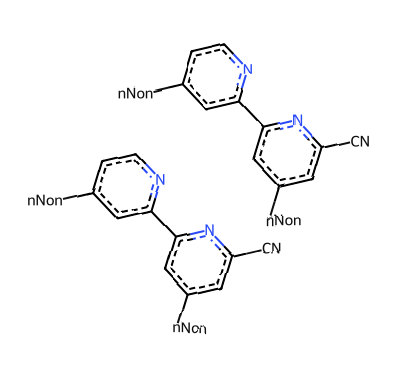 CCCCCCCCCc1ccnc(-c2cc(CCCCCCCCC)cc(C#N)n2)c1.CCCCCCCCCc1ccnc(-c2cc(CCCCCCCCC)cc(C#N)n2)c1